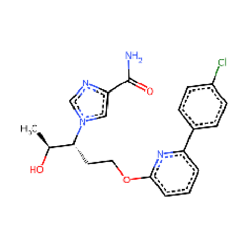 C[C@H](O)[C@@H](CCOc1cccc(-c2ccc(Cl)cc2)n1)n1cnc(C(N)=O)c1